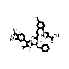 Nc1n[nH]c2cc(-c3nc([C@H](Cc4ccccc4)NC(=O)/C=C/c4cc(Cl)ccc4-n4cc(C(=O)O)nn4)[nH]c3Cl)ccc12